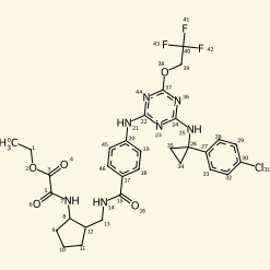 CCOC(=O)C(=O)NC1CCCC1CNC(=O)c1ccc(Nc2nc(NC3(c4ccc(Cl)cc4)CC3)nc(OCC(F)(F)F)n2)cc1